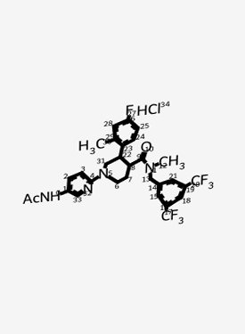 CC(=O)Nc1ccc(N2CCC(C(=O)N(C)Cc3cc(C(F)(F)F)cc(C(F)(F)F)c3)C(c3ccc(F)cc3C)C2)nc1.Cl